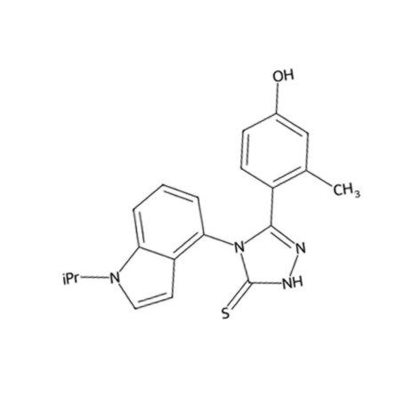 Cc1cc(O)ccc1-c1n[nH]c(=S)n1-c1cccc2c1ccn2C(C)C